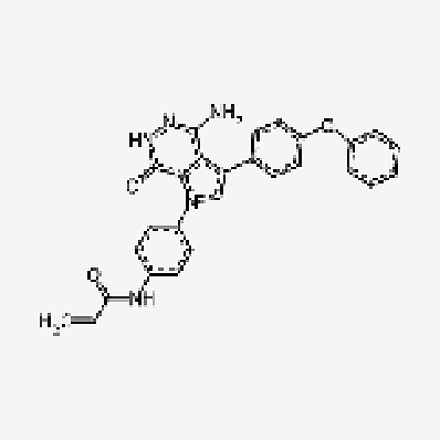 C=CC(=O)Nc1ccc(-n2cc(-c3ccc(Oc4ccccc4)cc3)c3c(N)n[nH]c(=O)c32)cc1